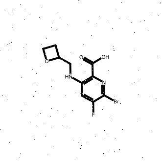 O=C(O)c1nc(Br)c(F)cc1NCC1CCO1